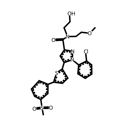 COCCN(CCO)C(=O)c1cc(-c2ccc(-c3cccc(S(C)(=O)=O)c3)s2)n(-c2ccccc2Cl)n1